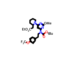 CCOC(=O)CC1CCCCN1c1cc(N(CCc2ccc(OC(F)(F)F)cc2)C(=O)OC(C)(C)C)nc(OC)n1